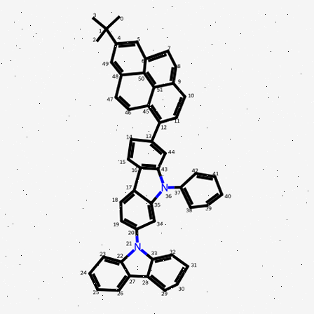 CC(C)(C)c1cc2ccc3ccc(-c4ccc5c6ccc(-n7c8ccccc8c8ccccc87)cc6n(-c6ccccc6)c5c4)c4ccc(c1)c2c34